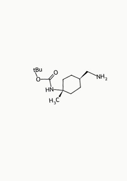 CC(C)(C)OC(=O)N[C@]1(C)CC[C@@H](CN)CC1